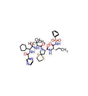 CCC[C@H](NC(=O)[C@@H]1CC2(CN1C(=O)[C@@H](NC(=O)[C@@H](NC(=O)c1cnccn1)C1CCCCC1)C(C)(C)C)SCCCS2)C(=O)NS(=O)(=O)c1ccccc1